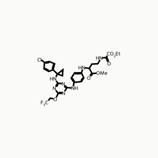 CCOC(=O)C(=O)NCCC(Nc1ccc(Nc2nc(NC3(c4ccc(Cl)cc4)CC3)nc(OCC(F)(F)F)n2)cc1)C(=O)OC